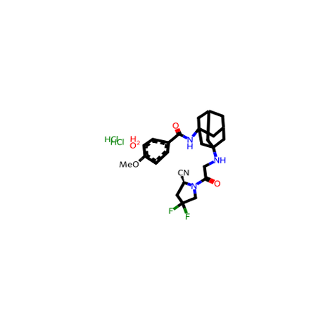 COc1ccc(C(=O)NC23CC4CC(CC(NCC(=O)N5CC(F)(F)C[C@H]5C#N)(C4)C2)C3)cc1.Cl.Cl.O